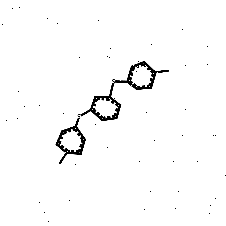 Cc1ccc(Sc2cccc(Sc3ccc(C)cc3)c2)cc1